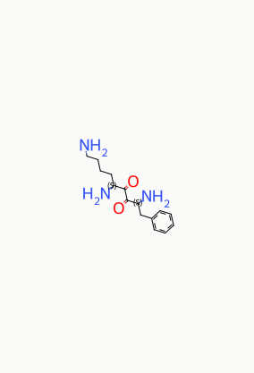 NCCCC[C@H](N)C(=O)C(=O)[C@@H](N)Cc1ccccc1